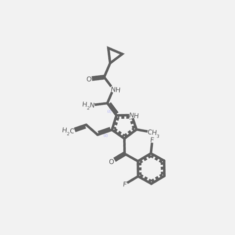 C=C/C=c1/c(C(=O)c2c(F)cccc2F)c(C)[nH]/c1=C(/N)NC(=O)C1CC1